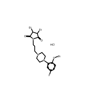 CCC1C(=O)N(CCCN2CCN(c3cc(F)ccc3OC(C)C)CC2)C(=O)C1CC.Cl